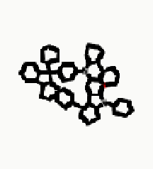 c1ccc(-c2ccccc2N(c2ccc(C3(c4ccccc4)c4ccccc4-c4ccccc43)cc2)c2ccc3c(c2)c2c(-c4ccccc4)cccc2n3-c2ccccc2)cc1